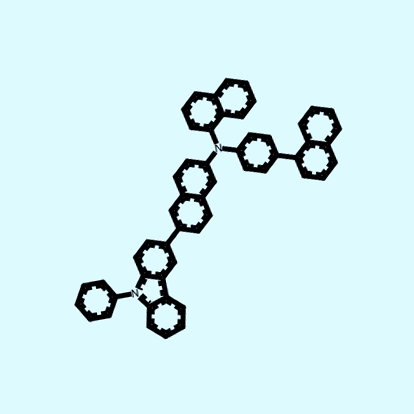 c1ccc(-n2c3ccccc3c3cc(-c4ccc5cc(N(c6ccc(-c7cccc8ccccc78)cc6)c6cccc7ccccc67)ccc5c4)ccc32)cc1